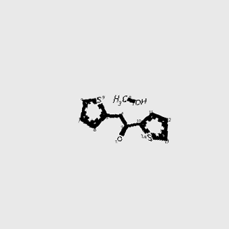 CO.O=C(Cc1cccs1)c1cccs1